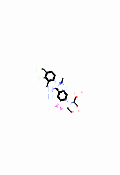 COC(=O)C1COCCN1c1cc2nc(C)nc(N[C@H](C)c3cccc(C(F)F)c3F)c2cc1[N+](=O)[O-]